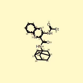 CCC(=O)Nc1nc2ccccc2nc1C(=O)NC12CC3CC(CC(C3)C1)C2